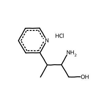 CC(c1ccccn1)C(N)CO.Cl